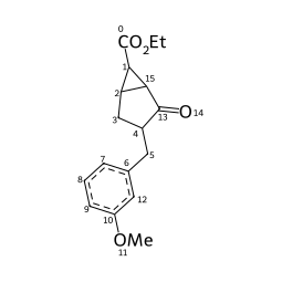 CCOC(=O)C1C2CC(Cc3cccc(OC)c3)C(=O)C21